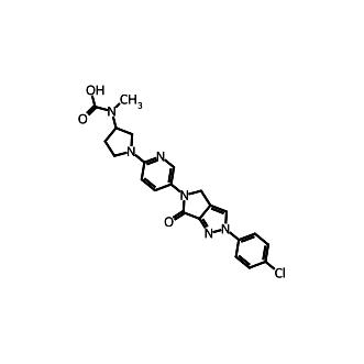 CN(C(=O)O)C1CCN(c2ccc(N3Cc4cn(-c5ccc(Cl)cc5)nc4C3=O)cn2)C1